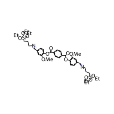 CCO[Si](CCC/N=C/c1ccc(OC(=O)c2ccc(C(=O)Oc3ccc(/C=N/CCC[Si](OCC)(OCC)OCC)cc3OC)cc2)c(OC)c1)(OCC)OCC